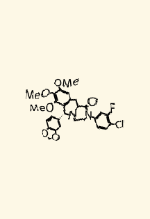 COc1cc2c(c(OC)c1OC)[C@@H](c1ccc3c(c1)OCO3)N1CCN(c3ccc(Cl)c(F)c3)C(=O)C1C2